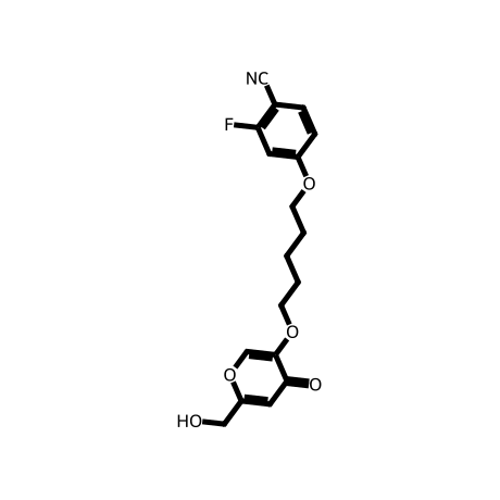 N#Cc1ccc(OCCCCCOc2coc(CO)cc2=O)cc1F